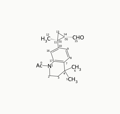 CC(=O)N1CCC(C)(C)c2ccc([C@@]3(C)C[C@@H]3C=O)cc21